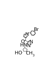 C[C@H]1C[C@H](Nc2ncncc2C(=O)c2ccn(Cc3cccc(Br)c3)c2)C[C@H]1CO